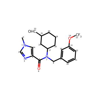 Cn1cnc(C(=O)N(Cc2cccc(OC(F)(F)F)c2)C2CCCC(C=O)C2)c1